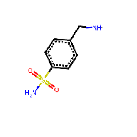 [NH]Cc1ccc(S(N)(=O)=O)cc1